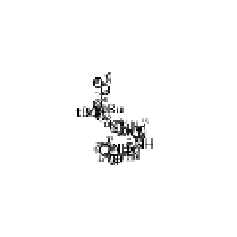 C=CC(=O)OCCO[Si](OCCN1CCN(c2cc(Nc3ncc(C(=O)Nc4c(C)cccc4Cl)s3)nc(C)n2)CC1)(C(C)(C)C)C(C)(C)C